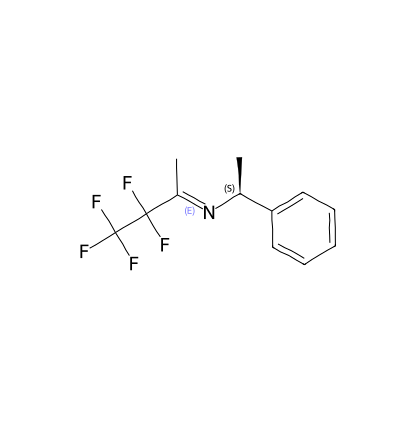 C/C(=N\[C@@H](C)c1ccccc1)C(F)(F)C(F)(F)F